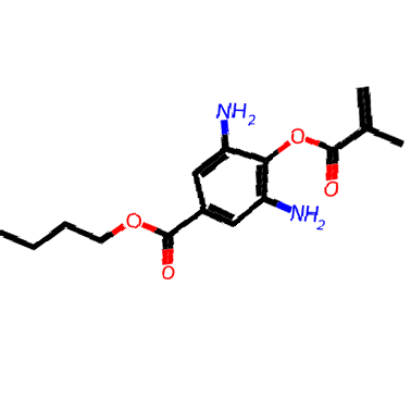 C=C(C)C(=O)Oc1c(N)cc(C(=O)OCCCC)cc1N